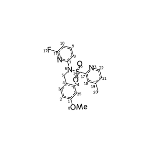 COc1ccc(CN(c2cccc(F)n2)S(=O)(=O)c2cc(C)ccn2)cc1